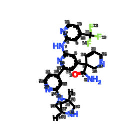 NC(=O)C1(c2cc(Nc3cc(C(F)(F)F)ccn3)nc(-c3ccnc(N4C[C@@H]5C[C@H]4CN5)c3)c2)C=CC=NC1